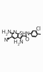 Cc1ccc(NC(=O)c2sc3nc(N)c(C#N)cc3c2N)cc1Cl